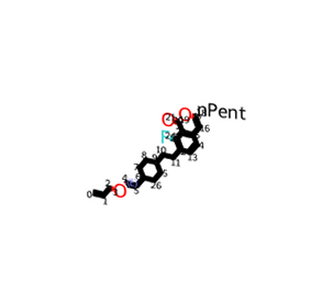 C=CCO/C=C/C1CCC(CCc2ccc3cc(CCCCC)oc(=O)c3c2F)CC1